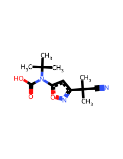 CC(C)(C#N)c1cc(N(C(=O)O)C(C)(C)C)on1